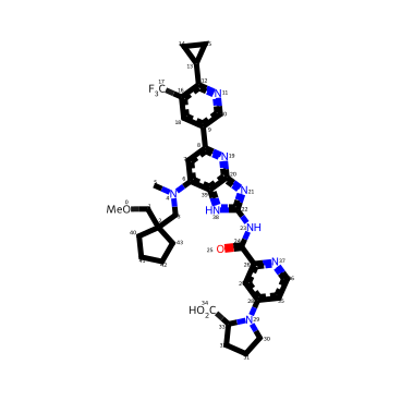 COCC1(CN(C)c2cc(-c3cnc(C4CC4)c(C(F)(F)F)c3)nc3nc(NC(=O)c4cc(N5CCCC5C(=O)O)ccn4)[nH]c23)CCCC1